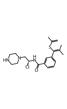 C=C(C)SC(=C(C)C)c1cccc(C(=O)N[C@@H](Cl)CN2CCNCC2)c1